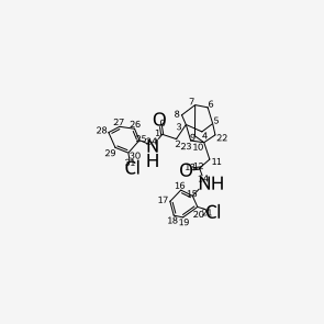 O=C(CC12CC3CC(C1)CC(CC(=O)Nc1ccccc1Cl)(C3)C2)Nc1ccccc1Cl